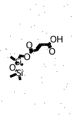 C[Si](C)(C)O[Si](C)(C)COC(=O)C=CC(=O)O